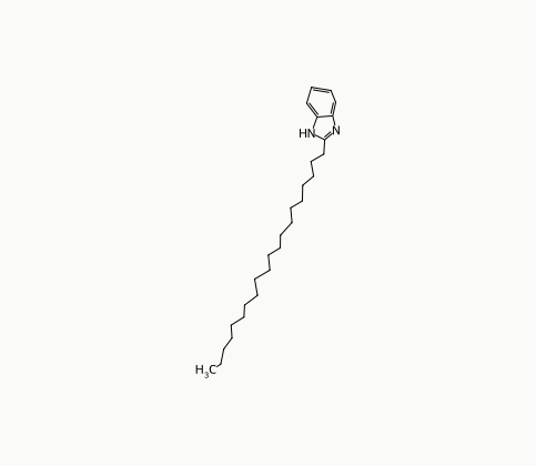 CCCCCCCCCCCCCCCCCCCCc1nc2ccccc2[nH]1